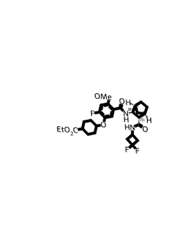 CCOC(=O)C1CCC(Oc2cc(C(=O)N[C@@H]3[C@H]4CC[C@H](C4)[C@@H]3C(=O)NC3CC(F)(F)C3)c(OC)cc2F)CC1